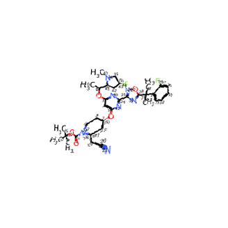 C[C@H](Oc1cc(O[C@H]2CCN(C(=O)OC(C)(C)C)[C@H](CC#N)C2)nc(-c2noc(C(C)(C)c3ccccc3F)n2)n1)[C@@H]1C[C@H](F)CN1C